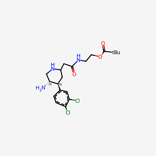 CC(C)(C)C(=O)OCCNC(=O)CC1C[C@@H](c2ccc(Cl)c(Cl)c2)[C@H](N)CN1